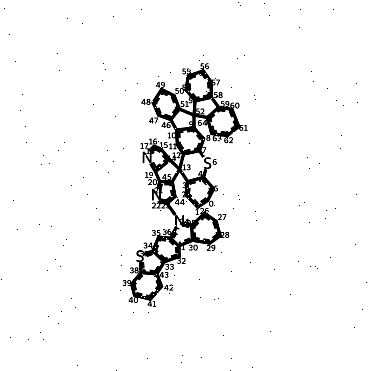 c1ccc2c(c1)Sc1cc3c(cc1C21c2cccnc2-c2ncc(-n4c5ccccc5c5cc6c(cc54)sc4ccccc46)cc21)-c1ccccc1C31c2ccccc2-c2ccccc21